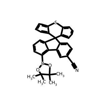 CC1(C)OB(c2cccc3c2-c2cc(C#N)ccc2C32c3ccccc3Sc3ccccc32)OC1(C)C